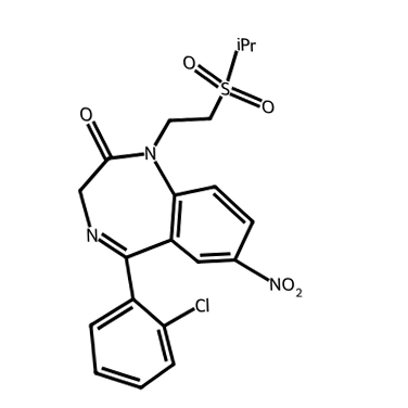 CC(C)S(=O)(=O)CCN1C(=O)CN=C(c2ccccc2Cl)c2cc([N+](=O)[O-])ccc21